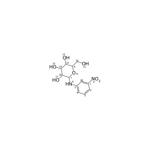 O=[N+]([O-])c1cccc(NC2OC(CO)C(O)C(O)C2O)c1